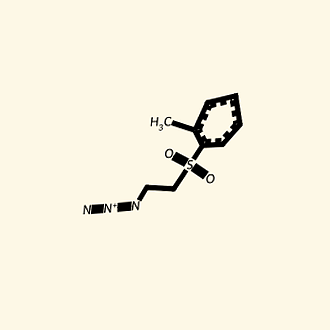 Cc1ccccc1S(=O)(=O)CCN=[N+]=[N-]